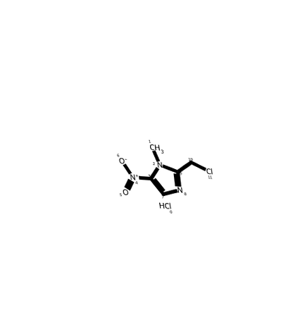 Cl.Cn1c([N+](=O)[O-])cnc1CCl